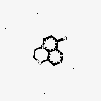 O=c1ccn2c3c(cccc13)OCC2